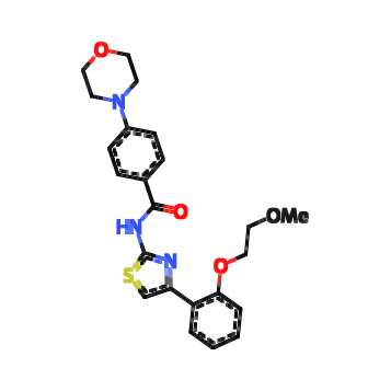 COCCOc1ccccc1-c1csc(NC(=O)c2ccc(N3CCOCC3)cc2)n1